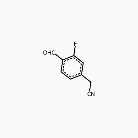 N#CCc1ccc(C=O)c(F)c1